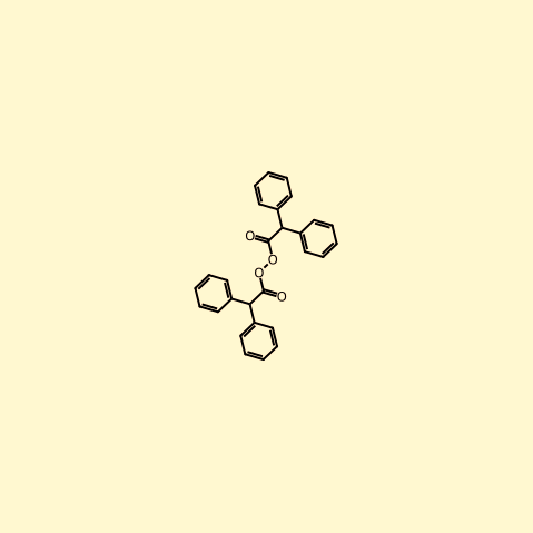 O=C(OOC(=O)C(c1ccccc1)c1ccccc1)C(c1ccccc1)c1ccccc1